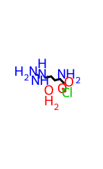 N=C(N)NCCC[C@H](N)C(=O)OCl.O